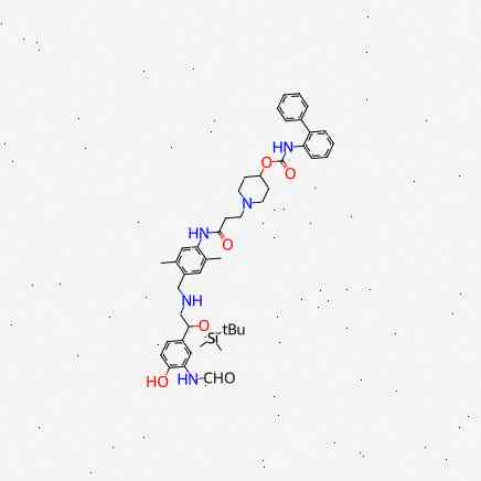 Cc1cc(NC(=O)CCN2CCC(OC(=O)Nc3ccccc3-c3ccccc3)CC2)c(C)cc1CNCC(O[Si](C)(C)C(C)(C)C)c1ccc(O)c(NC=O)c1